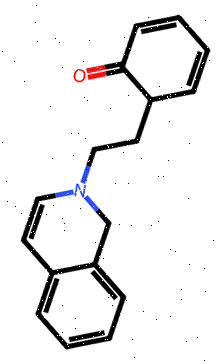 O=C1C=CC=CC1CCN1C=Cc2ccccc2C1